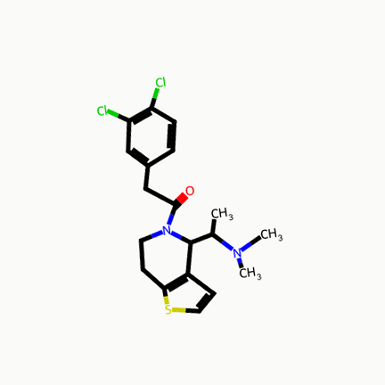 CC(C1c2ccsc2CCN1C(=O)Cc1ccc(Cl)c(Cl)c1)N(C)C